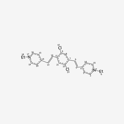 CC[n+]1ccc(/C=C/c2cc(Cl)c(/C=C/c3cc[n+](CC)cc3)cc2Cl)cc1